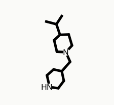 CC(C)C1CCN(CC2CCNCC2)CC1